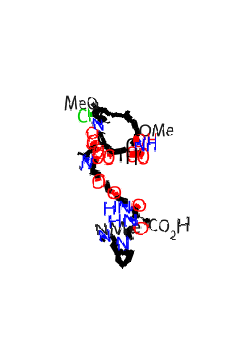 CNN(C)Cc1cc2ccccc2n1CCC(=O)N[C@@H](CCC(=O)O)C(=O)NCCOCCOCCC(=O)N(C)[C@@H](C)C(=O)O[C@H]1CC(=O)N(C)c2cc(cc(OC)c2Cl)C/C(C)=C/C=C/[C@@H](OC)[C@@]2(O)C[C@H](OC(=O)N2)[C@@H](C)C2O[C@]21C